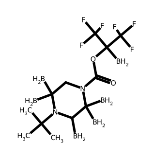 BC1N(C(C)(C)C)C(B)(B)CN(C(=O)OC(B)(C(F)(F)F)C(F)(F)F)C1(B)B